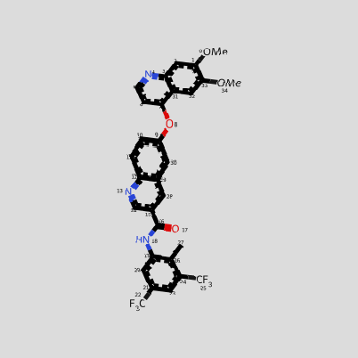 COc1cc2nccc(Oc3ccc4ncc(C(=O)Nc5cc(C(F)(F)F)cc(C(F)(F)F)c5C)cc4c3)c2cc1OC